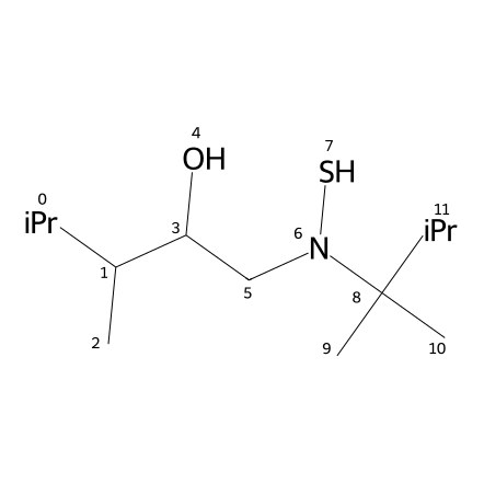 CC(C)C(C)C(O)CN(S)C(C)(C)C(C)C